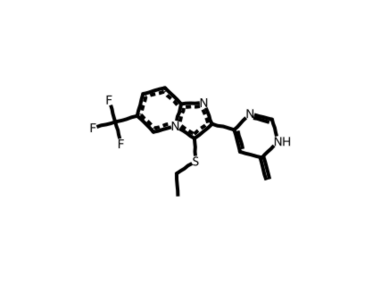 C=C1C=C(c2nc3ccc(C(F)(F)F)cn3c2SCC)N=CN1